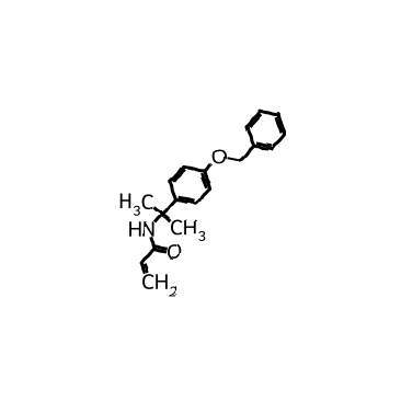 C=CC(=O)NC(C)(C)c1ccc(OCc2ccccc2)cc1